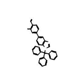 O=Cc1ccc(-c2ccc3c(c2)ncn3C(c2ccccc2)(c2ccccc2)c2ccccc2)cc1F